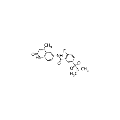 Cc1cc(=O)[nH]c2ccc(NC(=O)c3cc(S(=O)(=O)N(C)C)ccc3F)cc12